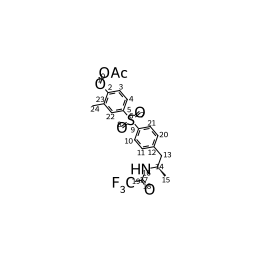 CC(=O)OOc1ccc(S(=O)(=O)c2ccc(C[C@@H](C)NC(=O)C(F)(F)F)cc2)cc1C